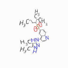 CCCC(C(C)C)S(=O)(=O)c1ccc2nccc(Nc3n[nH]c(C)c3C)c2c1